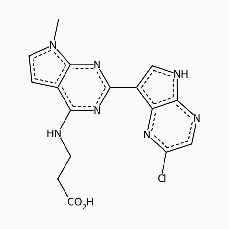 Cn1ccc2c(NCCC(=O)O)nc(-c3c[nH]c4ncc(Cl)nc34)nc21